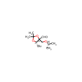 C[SiH](C)OC[C@@]1(C=O)OC(C)(C)O[C@H]1C(C)(C)C